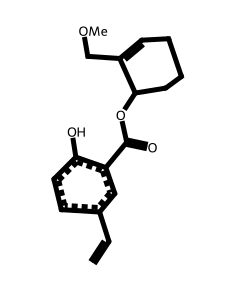 C=Cc1ccc(O)c(C(=O)OC2CCCC=C2COC)c1